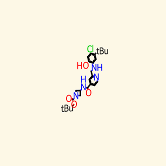 CC(C)(C)OC(=O)N1CC(NC(=O)c2ccnc(CNc3cc(C(C)(C)C)c(Cl)cc3O)c2)C1